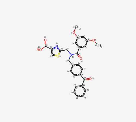 COc1cc(OC)cc(C(=O)N(Cc2ccc(C(=O)c3ccccc3)cc2)Cc2nc(C(=O)O)cs2)c1